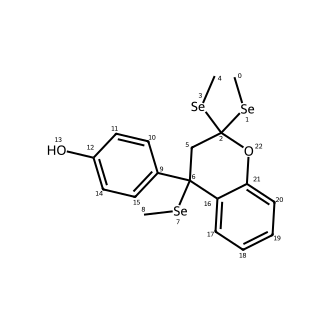 C[Se]C1([Se]C)CC([Se]C)(c2ccc(O)cc2)c2ccccc2O1